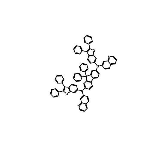 c1ccc(-c2oc3cc(N(c4ccc5c(c4)C(c4ccccc4)(c4ccccc4)c4cc(N(c6ccc7cccnc7c6)c6ccc7c(-c8ccccc8)c(-c8ccccc8)oc7c6)ccc4-5)c4ccc5cccnc5c4)ccc3c2-c2ccccc2)cc1